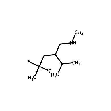 CNCC(CC(C)(F)F)C(C)C